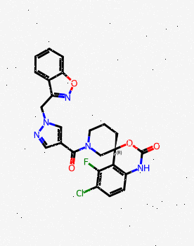 O=C1Nc2ccc(Cl)c(F)c2[C@@]2(CCCN(C(=O)c3cnn(Cc4noc5ccccc45)c3)C2)O1